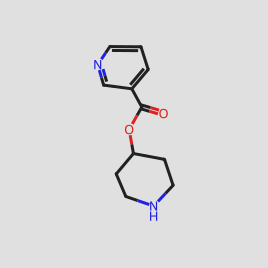 O=C(OC1CCNCC1)c1cccnc1